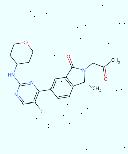 CC(=O)CN1C(=O)c2cc(-c3nc(NC4CCOCC4)ncc3Cl)ccc2[C@H]1C